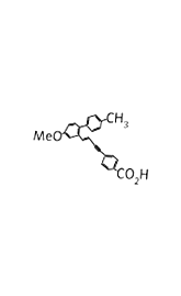 COc1ccc(-c2ccc(C)cc2)c(/C=C/C#Cc2ccc(C(=O)O)cc2)c1